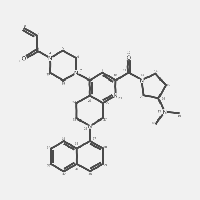 C=CC(=O)N1CCN(c2cc(C(=O)N3CCC(N(C)C)C3)nc3c2CCN(c2cccc4ccccc24)C3)CC1